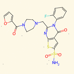 NS(=O)(=O)c1cc2c(=O)n(-c3ccccc3F)c(CN3CCN(C(=O)c4ccco4)CC3)nc2s1